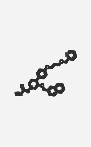 CC(C)(C)C(=O)ON1CCC(c2ccc(OCCCOCc3ccccn3)cc2)C(OCc2ccc3ccccc3c2)C1